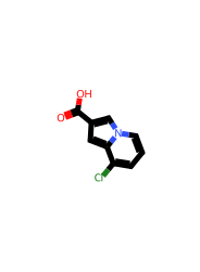 O=C(O)c1cc2c(Cl)cccn2c1